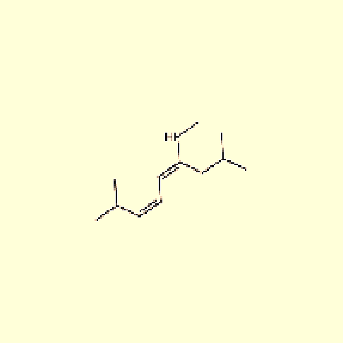 CP/C(=C/C=C\C(C)C)CC(C)C